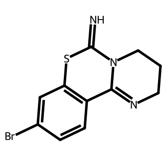 N=C1Sc2cc(Br)ccc2C2=NCCCN12